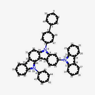 c1ccc(-c2ccc(-n3c4cc(-n5c6ccccc6c6ccccc65)ccc4c4c3ccc3c5ccccc5n(-c5ccccc5)c34)cc2)cc1